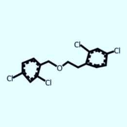 Clc1ccc(CCOCc2ccc(Cl)cc2Cl)c(Cl)c1